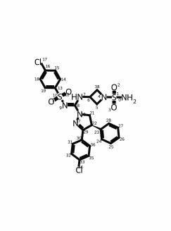 NS(=O)(=O)N1CC(N/C(=N\S(=O)(=O)c2ccc(Cl)cc2)N2C[C@@H](c3ccccc3)C(c3ccc(Cl)cc3)=N2)C1